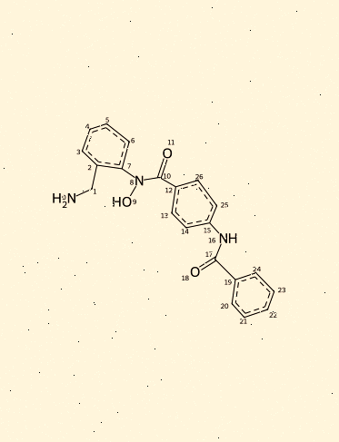 NCc1ccccc1N(O)C(=O)c1ccc(NC(=O)c2ccccc2)cc1